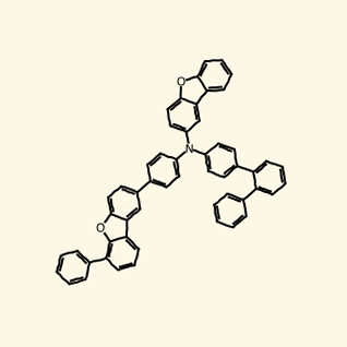 c1ccc(-c2ccccc2-c2ccc(N(c3ccc(-c4ccc5oc6c(-c7ccccc7)cccc6c5c4)cc3)c3ccc4oc5ccccc5c4c3)cc2)cc1